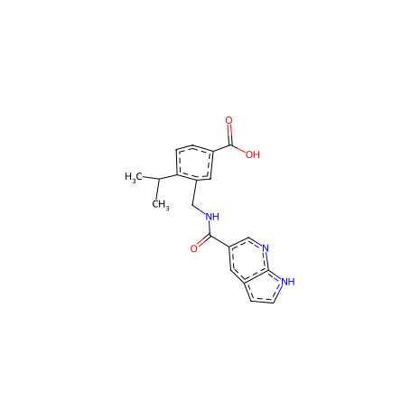 CC(C)c1ccc(C(=O)O)cc1CNC(=O)c1cnc2[nH]ccc2c1